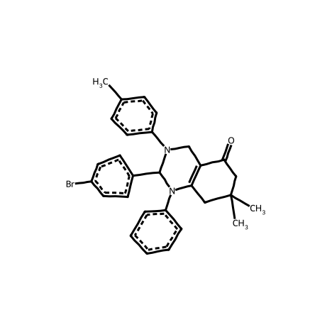 Cc1ccc(N2CC3=C(CC(C)(C)CC3=O)N(c3ccccc3)C2c2ccc(Br)cc2)cc1